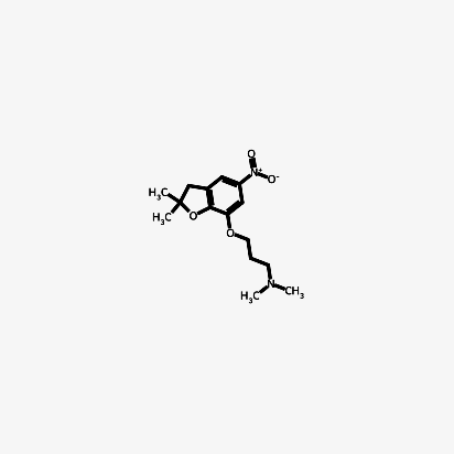 CN(C)CCCOc1cc([N+](=O)[O-])cc2c1OC(C)(C)C2